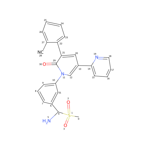 CS(=O)(=O)C(N)c1cccc(-n2cc(-c3ccccn3)cc(-c3ccccc3C#N)c2=O)c1